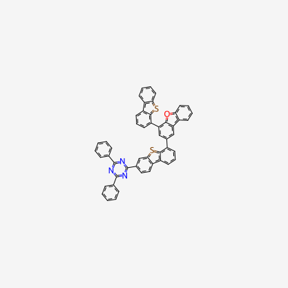 c1ccc(-c2nc(-c3ccccc3)nc(-c3ccc4c(c3)sc3c(-c5cc(-c6cccc7c6sc6ccccc67)c6oc7ccccc7c6c5)cccc34)n2)cc1